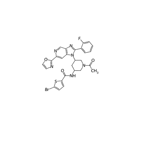 CC(=O)N1CC(NC(=O)c2ccc(Br)s2)CC(n2c(-c3ccccc3F)nc3cnc(-c4ncco4)cc32)C1